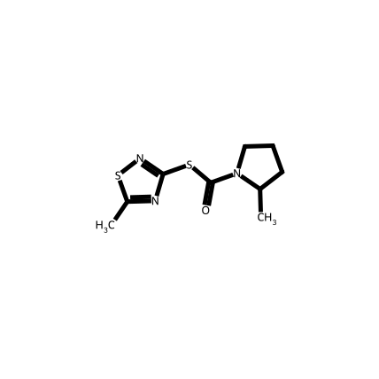 Cc1nc(SC(=O)N2CCCC2C)ns1